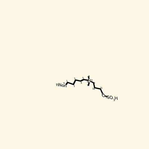 CCCCCCCCCCCCCC[N+](C)(C)CCCOS(=O)(=O)O